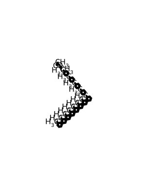 CCOC(C)=O.Cc1ccccc1.Cc1ccccc1.Cc1ccccc1.Cc1ccccc1.Cc1ccccc1.Cc1ccccc1.Cc1ccccc1.Cc1ccccc1.Cc1ccccc1.Cc1ccccc1.Cc1ccccc1.Cc1ccccc1